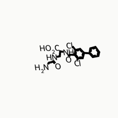 NCC(=O)NC[C@H](NC(=O)c1c(Cl)cc(-c2ccccc2)cc1Cl)C(=O)O